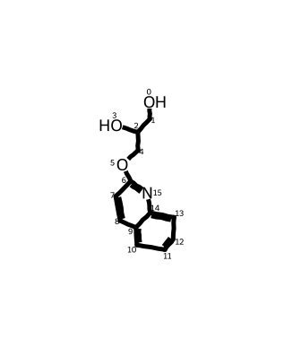 OCC(O)COc1ccc2ccccc2n1